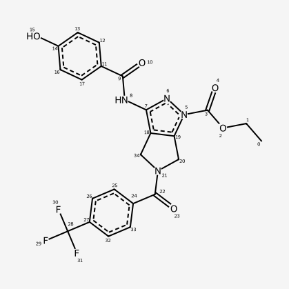 CCOC(=O)n1nc(NC(=O)c2ccc(O)cc2)c2c1CN(C(=O)c1ccc(C(F)(F)F)cc1)C2